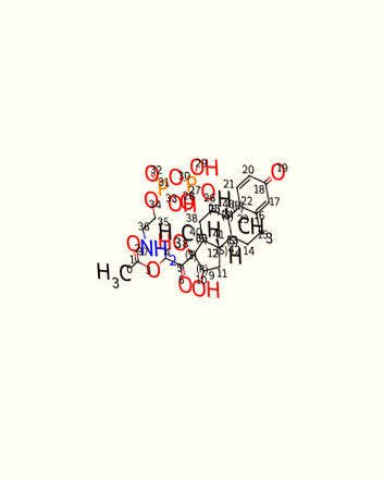 CC(=O)OCC(=O)[C@@]1(O)[C@H](O)C[C@H]2[C@@H]3CCC4=CC(=O)C=C[C@]4(C)[C@H]3[C@@H](OP(=O)(O)OP(=O)(O)OCCN)C[C@@]21C